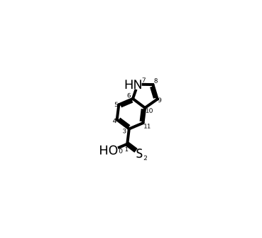 OC(=S)c1ccc2[nH]ccc2c1